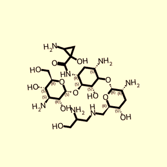 NC(CO)CNC[C@H]1O[C@H](OC2[C@@H](N)C[C@@H](NC(=O)C3(O)CC3N)[C@H](O[C@H]3O[C@H](CO)[C@@H](O)[C@H](N)[C@H]3O)[C@H]2O)[C@H](N)C[C@@H]1O